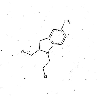 Cc1ccc2c(c1)CC(CCl)N2CCCl